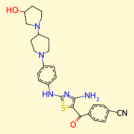 N#Cc1ccc(C(=O)c2sc(Nc3ccc(N4CCC(N5CCCC(O)C5)CC4)cc3)nc2N)cc1